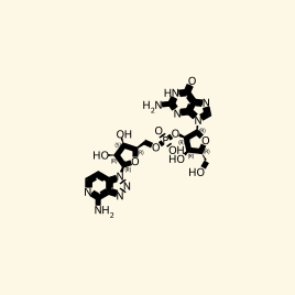 Nc1nc2c(ncn2[C@@H]2O[C@H](CO)[C@@H](O)[C@H]2OP(=O)(O)OC[C@H]2O[C@@H](n3nnc4c(N)nccc43)[C@H](O)[C@@H]2O)c(=O)[nH]1